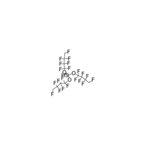 FCC(F)(F)C(F)(F)C(F)(F)O[SiH](OC(F)(F)C(F)(F)C(F)(F)CF)OC(F)(F)C(F)(F)C(F)(F)CF